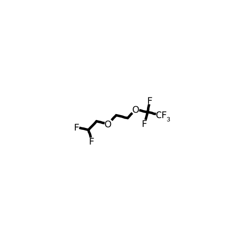 FC(F)COCCOC(F)(F)C(F)(F)F